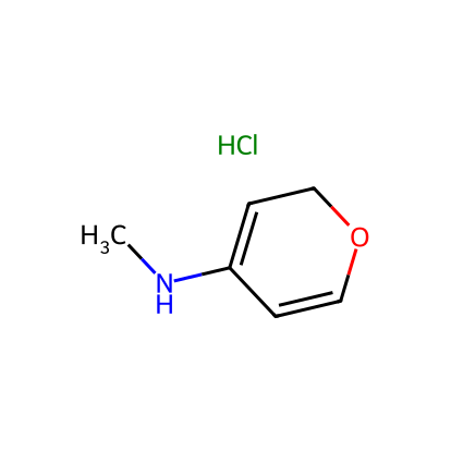 CNC1=CCOC=C1.Cl